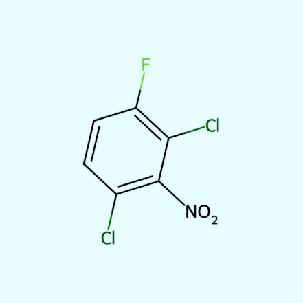 O=[N+]([O-])c1c(Cl)ccc(F)c1Cl